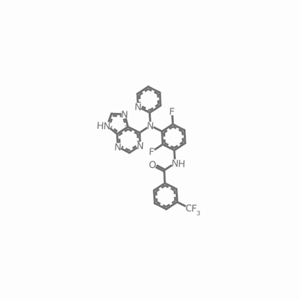 O=C(Nc1ccc(F)c(N(c2ccccn2)c2ncnc3[nH]cnc23)c1F)c1cccc(C(F)(F)F)c1